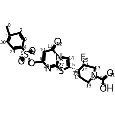 Cc1ccc(S(=O)(=O)Oc2cc(=O)n3cc([C@H]4CCN(C(=O)O)C[C@H]4F)sc3n2)cc1